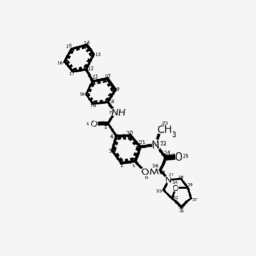 COc1ccc(C(=O)Nc2ccc(-c3ccccc3)cc2)cc1N(C)C(=O)CN1CC2CCC(C1)O2